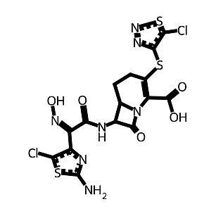 Nc1nc(/C(=N/O)C(=O)NC2C(=O)N3C(C(=O)O)=C(Sc4nnsc4Cl)CCC23)c(Cl)s1